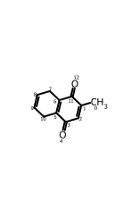 CC1=CC(=O)C2=C(CC=CC2)C1=O